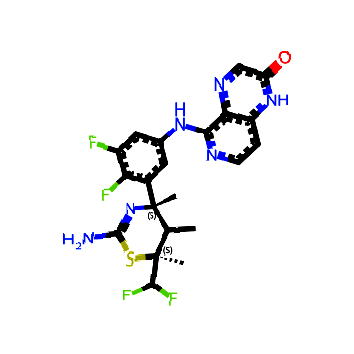 CC1[C@@](C)(C(F)F)SC(N)=N[C@]1(C)c1cc(Nc2nccc3[nH]c(=O)cnc23)cc(F)c1F